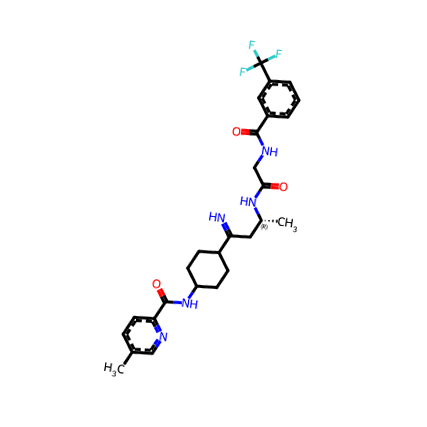 Cc1ccc(C(=O)NC2CCC(C(=N)C[C@@H](C)NC(=O)CNC(=O)c3cccc(C(F)(F)F)c3)CC2)nc1